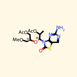 COC[C@@H](COC(C)=O)O[C@H](C(C)OC(C)=O)n1c(=O)sc2cnc(N)nc21